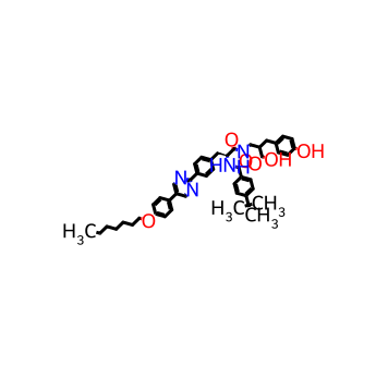 CCCCCCCOc1ccc(-c2cnc(-c3ccc(C[C@H](NC(=O)c4ccc(C(C)(C)C)cc4)C(=O)NCC(Cc4ccc(O)cc4)C(=O)O)cc3)nc2)cc1